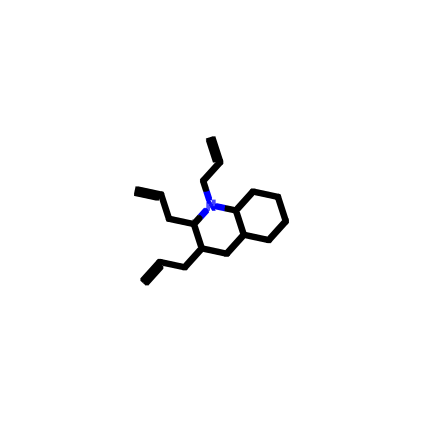 C=CC[C]1C(CC=C)CC2CCCCC2N1CC=C